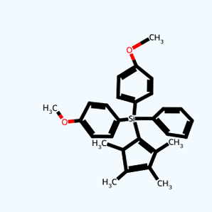 COc1ccc([Si](C2=C(C)C(C)=C(C)C2C)(c2ccccc2)c2ccc(OC)cc2)cc1